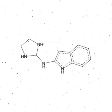 c1ccc2[nH]c(NC3NCCN3)cc2c1